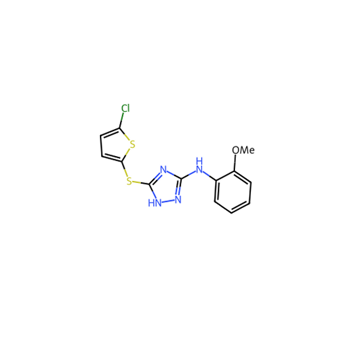 COc1ccccc1Nc1n[nH]c(Sc2ccc(Cl)s2)n1